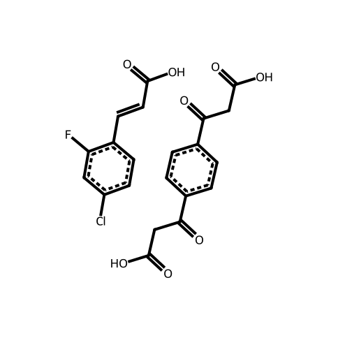 O=C(O)C=Cc1ccc(Cl)cc1F.O=C(O)CC(=O)c1ccc(C(=O)CC(=O)O)cc1